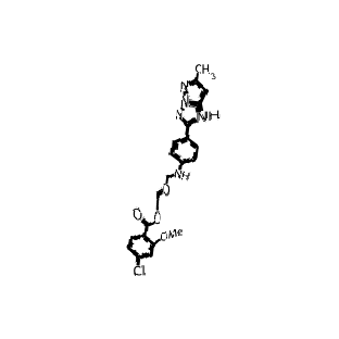 COc1cc(Cl)ccc1C(=O)OCOCNc1ccc(-c2nn3nc(C)cc3[nH]2)cc1